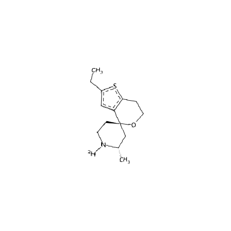 [2H]N1CC[C@]2(C[C@@H]1C)OCCc1sc(CC)cc12